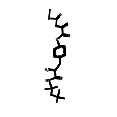 C=C(CC(=O)OC)C(=O)Oc1ccc(CC(N)C(=O)NC(C)(C)CC(C)(C)C)cc1